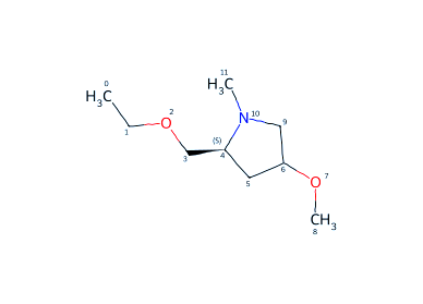 CCOC[C@@H]1CC(OC)CN1C